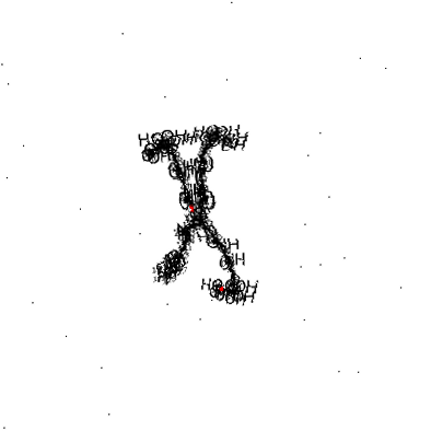 O=C(CCCCO[C@H]1O[C@H](CCP(=O)(O)O)[C@@H](O)[C@H](O)[C@@H]1O)NCCCNC(=O)CCOCCC(COCCC(=O)NCCCNC(=O)CCCCO[C@H]1O[C@H](CCP(=O)(O)O)[C@@H](O)[C@H](O)[C@@H]1O)(COCCC(=O)NCCCNC(=O)CCCCO[C@H]1O[C@H](CCP(=O)(O)O)[C@@H](O)[C@H](O)[C@@H]1O)NC(=O)CCc1cn(CCCCCC(=O)Oc2c(F)c(F)c(F)c(F)c2F)nn1